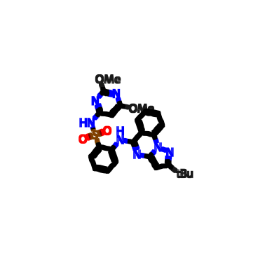 COc1cc(NS(=O)(=O)c2ccccc2Nc2nc3cc(C(C)(C)C)nn3c3ccccc23)nc(OC)n1